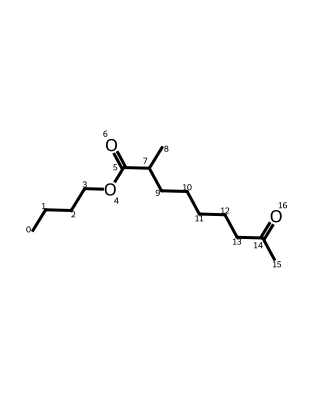 CCCCOC(=O)C(C)CCCCCC(C)=O